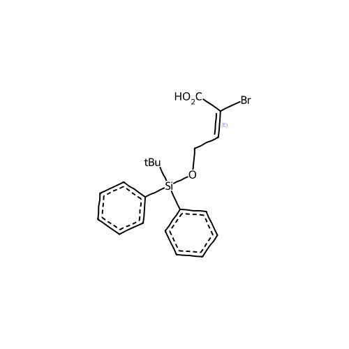 CC(C)(C)[Si](OC/C=C(/Br)C(=O)O)(c1ccccc1)c1ccccc1